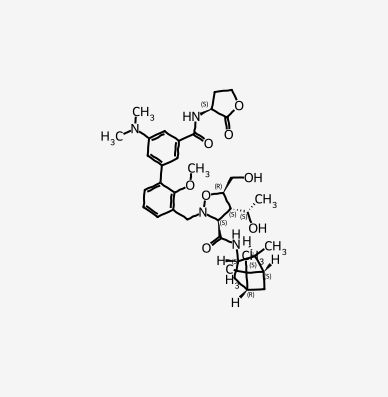 COc1c(CN2O[C@@H](CO)[C@H]([C@H](C)O)[C@H]2C(=O)N[C@H]2C[C@H]3C[C@@H]([C@@H]2C)C3(C)C)cccc1-c1cc(C(=O)N[C@H]2CCOC2=O)cc(N(C)C)c1